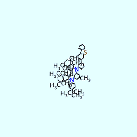 Cc1cc2c3c(c1)N(c1cccc(-c4ccc5c(c4)sc4ccccc45)c1)c1cc4c(cc1B3c1cc3c(cc1N2c1ccc(C(C)(C)C)cc1)C(C)(C)CCC3(C)C)C(C)(C)CCC4(C)C